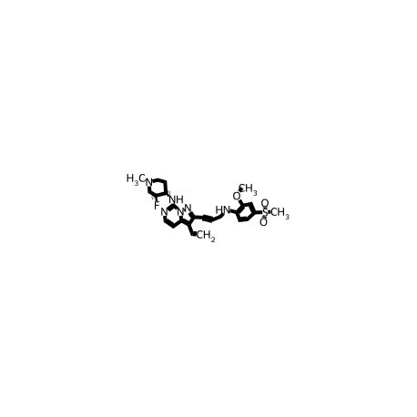 C=Cc1c(C#CCNc2ccc(S(C)(=O)=O)cc2OC)nn2c(N[C@@H]3CCN(C)C[C@@H]3F)nccc12